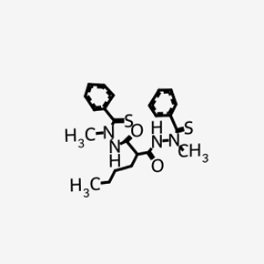 CCCCC(C(=O)NN(C)C(=S)c1ccccc1)C(=O)NN(C)C(=S)c1ccccc1